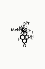 CCC[C@H]1O[C@@H]2CC3[C@@H]4C[C@H](F)C5=CC(=O)C=C[C@]5(C)[C@@]4(F)[C@@H](O)C[C@]3(C)[C@]2(C(=O)CNC)O1